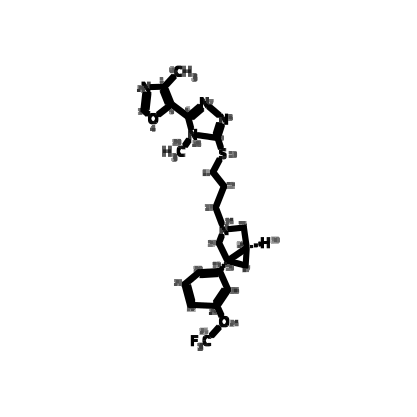 Cc1ncoc1-c1nnc(SCCCN2C[C@H]3C[C@@]3(c3cccc(OC(F)(F)F)c3)C2)n1C